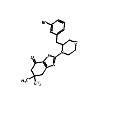 CC1(C)CC(=O)c2sc(N3CCOCC3Cc3cccc(Br)c3)nc2C1